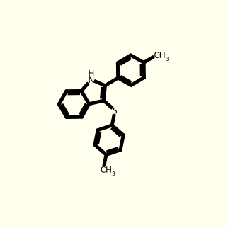 Cc1ccc(Sc2c(-c3ccc(C)cc3)[nH]c3ccccc23)cc1